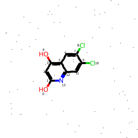 Oc1cc(O)c2cc(Cl)c(Cl)cc2n1